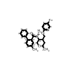 CCCC(COc1ccc(F)cn1)C(CC)N(C)C(=O)c1cc(C)ccc1-c1ccccc1